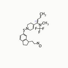 C=C/C=C(/C1=CCN(Sc2ccc3c(c2)C(CCN=O)CC3)CC1)N(C)C(F)(F)F